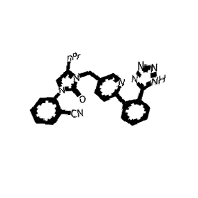 CCCc1cn(-c2ccccc2C#N)c(=O)n1Cc1ccc(-c2ccccc2-c2nnn[nH]2)nc1